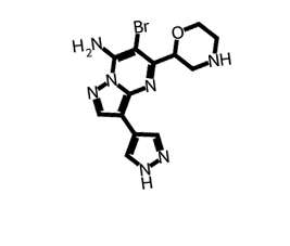 Nc1c(Br)c(C2CNCCO2)nc2c(-c3cn[nH]c3)cnn12